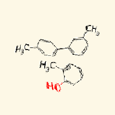 Cc1ccc(-c2cccc(C)c2)cc1.Cc1ccccc1O